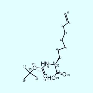 C=CCCCCCC[C@H](NC(=O)OC(C)(C)C)C(=O)O